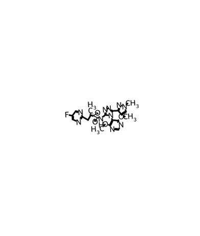 COc1ncnc(OC)c1-n1c(NS(=O)(=O)[C@@H](C)Cc2ncc(F)cn2)nnc1-c1ccn(C)n1